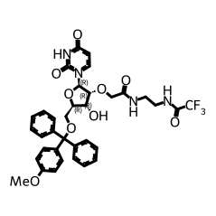 COc1ccc(C(OC[C@H]2O[C@@H](n3ccc(=O)[nH]c3=O)[C@H](OCC(=O)NCCNC(=O)C(F)(F)F)[C@@H]2O)(c2ccccc2)c2ccccc2)cc1